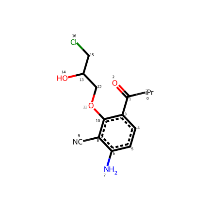 CC(C)C(=O)c1ccc(N)c(C#N)c1OCC(O)CCl